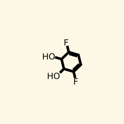 OC1C(F)=CC=C(F)C1O